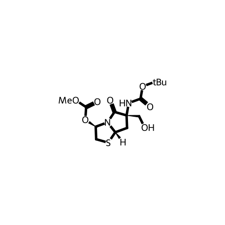 COC(=O)O[C@@H]1CS[C@H]2C[C@@](CO)(NC(=O)OC(C)(C)C)C(=O)N21